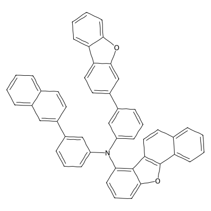 c1cc(-c2ccc3ccccc3c2)cc(N(c2cccc(-c3ccc4c(c3)oc3ccccc34)c2)c2cccc3oc4c5ccccc5ccc4c23)c1